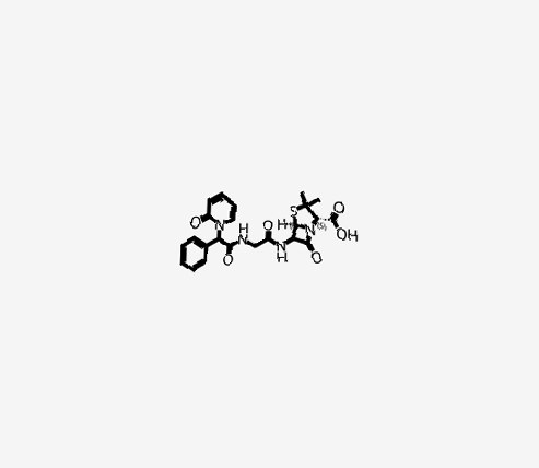 CC1(C)S[C@@H]2C(NC(=O)CNC(=O)C(c3ccccc3)n3ccccc3=O)C(=O)N2[C@H]1C(=O)O